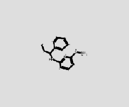 CCC(Nc1cccc(SN)n1)c1ccccc1